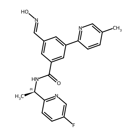 Cc1ccc(-c2cc(C=NO)cc(C(=O)N[C@H](C)c3ccc(F)cn3)c2)nc1